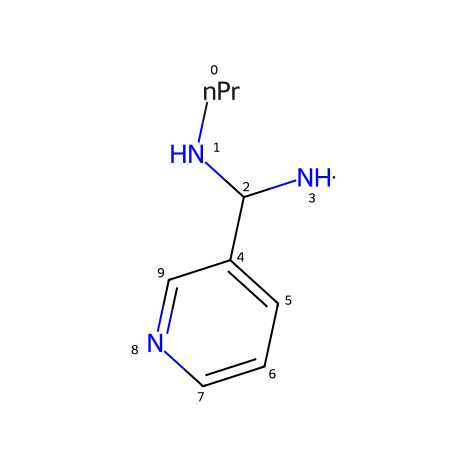 CCCNC([NH])c1cccnc1